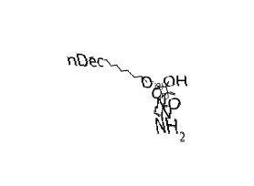 C=C1C(O)[C@@H](COCCCCCCCCCCCCCCCCC)O[C@H]1n1ccc(N)nc1=O